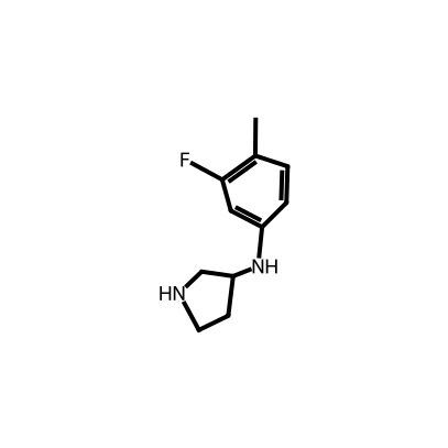 Cc1ccc(NC2CCNC2)cc1F